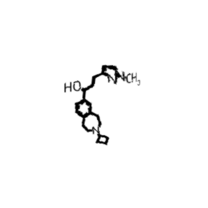 Cn1ccc(CCC(O)c2ccc3c(c2)CCN(C2CCC2)CC3)n1